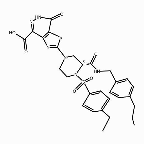 CCCc1ccc(CNC(=O)[C@H]2CN(c3nc4c(C(=O)O)n[nH]c(=O)c4s3)CCN2S(=O)(=O)c2ccc(CC)cc2)cc1